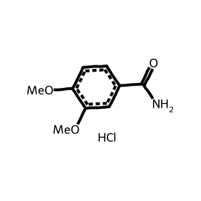 COc1ccc(C(N)=O)cc1OC.Cl